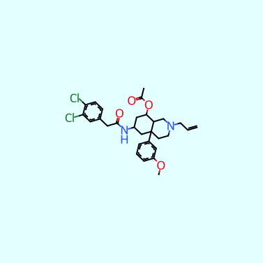 C=CCN1CCC2(c3cccc(OC)c3)CC(NC(=O)Cc3ccc(Cl)c(Cl)c3)CC(OC(C)=O)C2C1